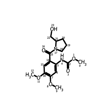 COC(=O)Nc1cc(OC)c(OC)cc1C(=O)N1CCCC1CO